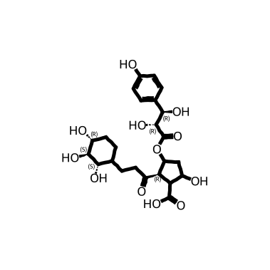 O=C(O)C1C(O)CC(OC(=O)[C@H](O)[C@H](O)c2ccc(O)cc2)[C@@H]1C(=O)CCC1CC[C@@H](O)[C@H](O)[C@H]1O